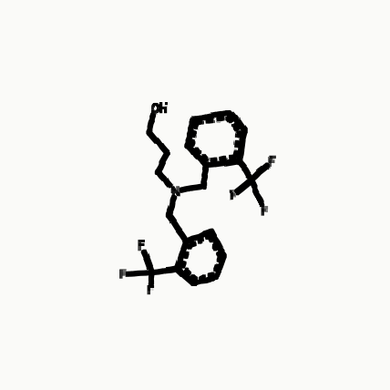 OCCCN(Cc1ccccc1C(F)(F)F)Cc1ccccc1C(F)(F)F